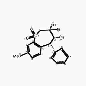 CCCC[C@]1(CC)CS(=O)(=O)c2cc(OC)ccc2[C@@H](c2ccccc2)[C@H]1O